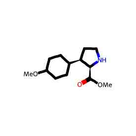 COC(=O)[C@@H]1NCC[C@@H]1C1CCC(OC)CC1